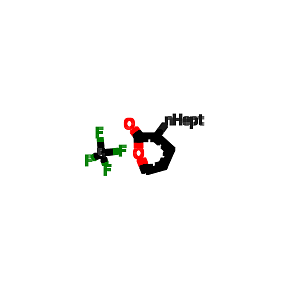 CCCCCCCc1cccoc1=O.F[B-](F)(F)F